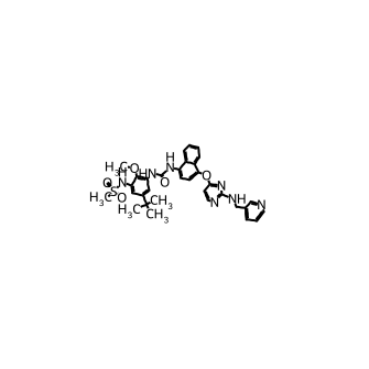 COc1c(NC(=O)Nc2ccc(Oc3ccnc(NCc4cccnc4)n3)c3ccccc23)cc(C(C)(C)C)cc1NS(C)(=O)=O